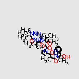 CC[C@H](C)[C@@H]([C@@H](CC(=O)N1CCC[C@H]1[C@H](OC)[C@@H](C)C(=O)N[C@H](C)[C@@H](O)c1ccccc1)OC)N(C)C(=O)[C@@H](NC(=O)[C@H](C(C)C)N(C)N)C(C)C